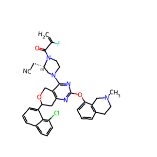 C=C(F)C(=O)N1CCN(c2nc(Oc3cccc4c3CN(C)CC4)nc3c2COC(c2cccc4cccc(Cl)c24)C3)C[C@@H]1CC#N